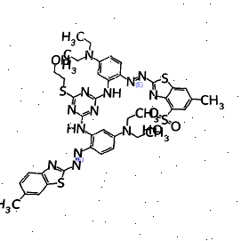 CCN(CC)c1ccc(/N=N/c2nc3ccc(C)cc3s2)c(Nc2nc(Nc3cc(N(CC)CC)ccc3/N=N/c3nc4c(S(=O)(=O)O)cc(C)cc4s3)nc(SCCO)n2)c1